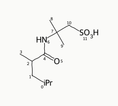 CC(C)CC(C)C(=O)NC(C)(C)CS(=O)(=O)O